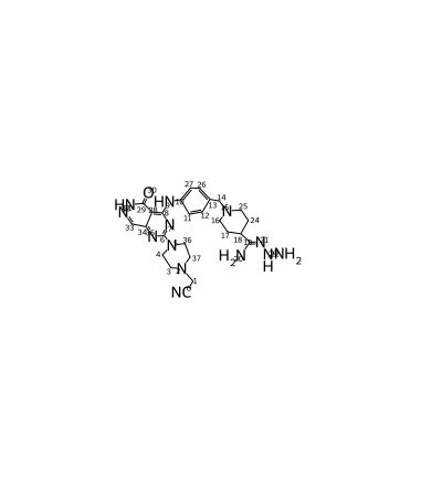 N#CCN1CCN(c2nc(Nc3ccc(CN4CCC(/C(N)=N/NN)CC4)cc3)c3c(=O)[nH]ncc3n2)CC1